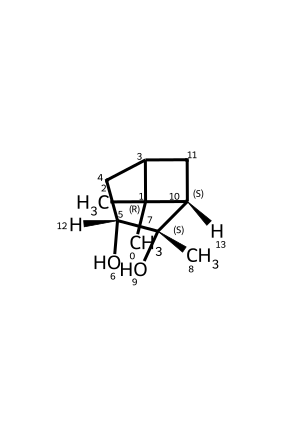 CC1(C)C2C[C@@H](O)[C@@](C)(O)[C@H]1C2